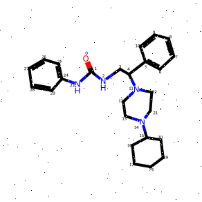 O=C(NCC(c1ccccc1)N1CCN(C2CCCCC2)CC1)Nc1ccccc1